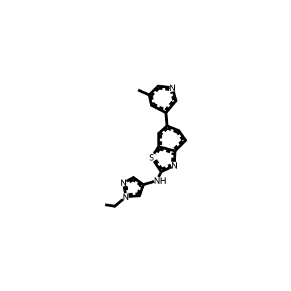 CCn1cc(Nc2nc3ccc(-c4cncc(C)c4)cc3s2)cn1